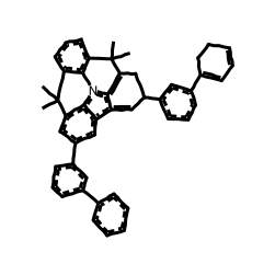 CC1(C)C2=c3c(c4cc(-c5cccc(-c6ccccc6)c5)cc5c4n3-c3c1cccc3C5(C)C)=CC(c1cccc(C3=CC=CCC3)c1)C2